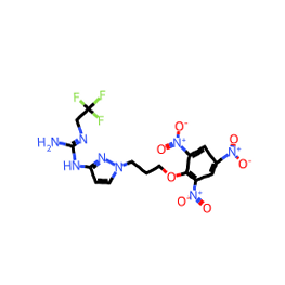 NC(=NCC(F)(F)F)Nc1ccn(CCCOc2c([N+](=O)[O-])cc([N+](=O)[O-])cc2[N+](=O)[O-])n1